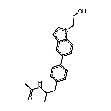 CC(=O)NC(C)Cc1ccc(-c2ccc3c(ccn3CCO)c2)cc1